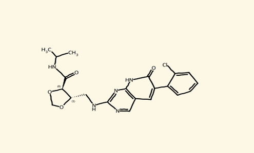 CC(C)NC(=O)[C@@H]1OCO[C@H]1CNc1ncc2cc(-c3ccccc3Cl)c(=O)[nH]c2n1